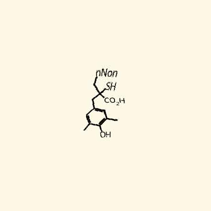 CCCCCCCCCCC(S)(Cc1cc(C)c(O)c(C)c1)C(=O)O